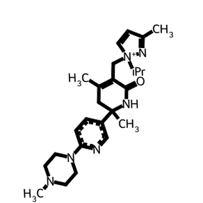 CC1=N[N+](CC2=C(C)CC(C)(c3ccc(N4CCN(C)CC4)nc3)NC2=O)(C(C)C)C=C1